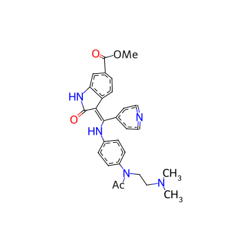 COC(=O)c1ccc2c(c1)NC(=O)/C2=C(\Nc1ccc(N(CCN(C)C)C(C)=O)cc1)c1ccncc1